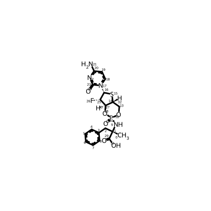 C[C@@](Cc1ccccc1)(NP1(=O)OC[C@H]2S[C@@H](n3ccc(N)nc3=O)[C@@H](F)[C@@H]2O1)C(=O)O